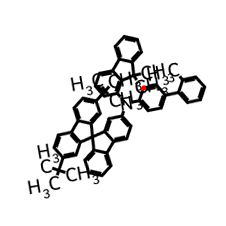 Cc1ccccc1-c1ccc(N(c2ccc3c(c2)C2(c4ccccc4-3)c3cc(C(C)(C)C)ccc3-c3ccc(C(C)(C)C)cc32)c2cccc3c2C(C)(C)c2ccccc2-3)cc1